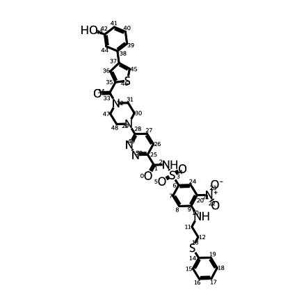 O=C(NS(=O)(=O)c1ccc(NCCSc2ccccc2)c([N+](=O)[O-])c1)c1ccc(N2CCN(C(=O)c3cc(-c4cccc(O)c4)cs3)CC2)nn1